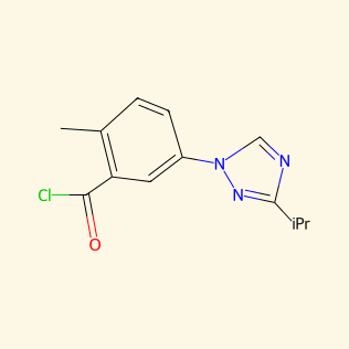 Cc1ccc(-n2cnc(C(C)C)n2)cc1C(=O)Cl